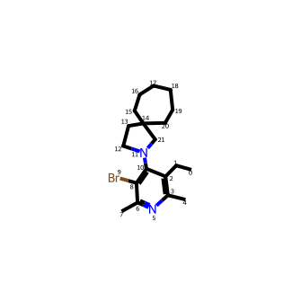 CCc1c(C)nc(C)c(Br)c1N1CCC2(CCCCCC2)C1